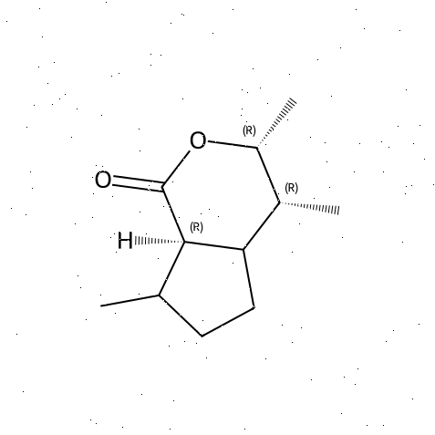 CC1CCC2[C@@H]1C(=O)O[C@H](C)[C@@H]2C